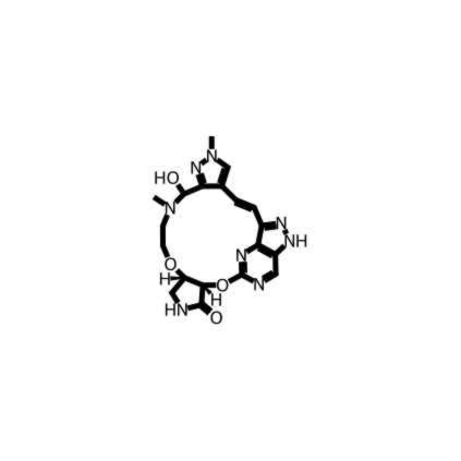 CN1CCO[C@H]2CNC(=O)[C@H]2Oc2ncc3[nH]nc(c3n2)/C=C/c2cn(C)nc2C1O